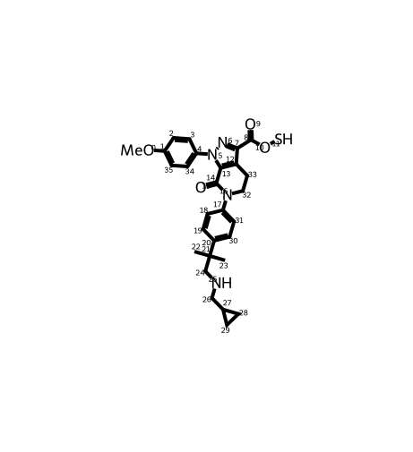 COc1ccc(-n2nc(C(=O)OS)c3c2C(=O)N(c2ccc(C(C)(C)CNCC4CC4)cc2)CC3)cc1